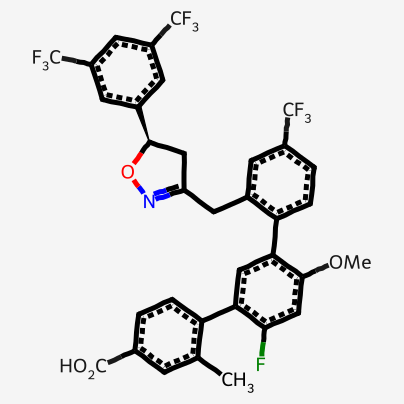 COc1cc(F)c(-c2ccc(C(=O)O)cc2C)cc1-c1ccc(C(F)(F)F)cc1CC1=NO[C@@H](c2cc(C(F)(F)F)cc(C(F)(F)F)c2)C1